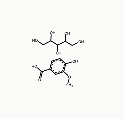 COc1cc(C(=O)O)ccc1O.OCC(O)C(O)C(O)CO